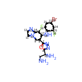 NCC(N)c1nnc(-c2cn3ccnc3c(F)c2Nc2ccc(Br)cc2F)o1